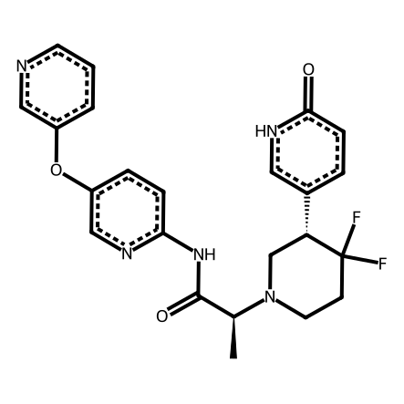 C[C@@H](C(=O)Nc1ccc(Oc2cccnc2)cn1)N1CCC(F)(F)[C@@H](c2ccc(=O)[nH]c2)C1